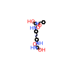 O=C(Nc1ccc(/C=C/c2ccc(NC(=O)[C@@H]3C[C@@H](O)CN3C(=O)Cc3ccccc3)cc2)cc1)[C@@H]1C[C@@H](O)CN1